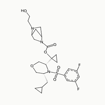 O=C(OC1([C@H]2COC[C@@H](CC3CC3)N2S(=O)(=O)c2cc(F)cc(F)c2)CC1)N1CC2CC1CN2CCO